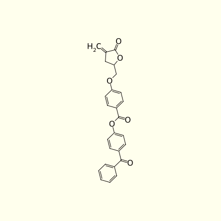 C=C1CC(COc2ccc(C(=O)Oc3ccc(C(=O)c4ccccc4)cc3)cc2)OC1=O